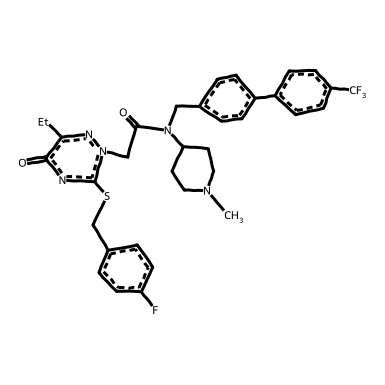 CCc1nn(CC(=O)N(Cc2ccc(-c3ccc(C(F)(F)F)cc3)cc2)C2CCN(C)CC2)c(SCc2ccc(F)cc2)nc1=O